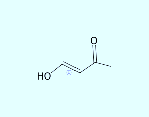 CC(=O)/C=C/O